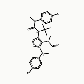 C[C@@H](c1ccc(Cl)cc1)n1nnc([C@@H](C(=O)N(C)c2ccc(Cl)cc2)C(C)(C)F)c1N(C)C=O